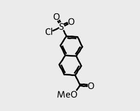 COC(=O)c1ccc2cc(S(=O)(=O)Cl)ccc2c1